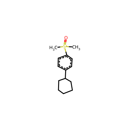 C[S+](C)(=O)c1ccc(C2CCCCC2)cc1